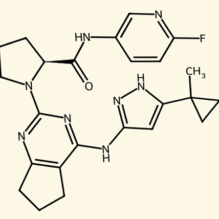 CC1(c2cc(Nc3nc(N4CCC[C@H]4C(=O)Nc4ccc(F)nc4)nc4c3CCC4)n[nH]2)CC1